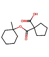 CC1(OC(=O)C2(C(=O)O)CCCC2)CCCCC1